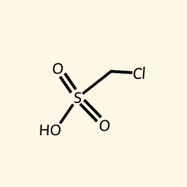 O=S(=O)(O)CCl